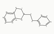 c1ccc(CCC2CCc3ccccc3C2)cc1